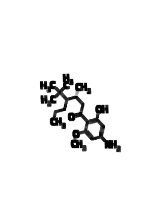 CCCC([C@H](C)CC(=O)c1c(O)cc(N)cc1OC)C(C)(C)C